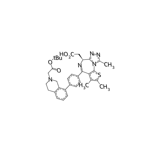 Cc1sc2c(c1C)C(c1ccc(-c3cccc4c3CN(CC(=O)OC(C)(C)C)CC4)cc1)=N[C@@H](CC(=O)O)c1nnc(C)n1-2